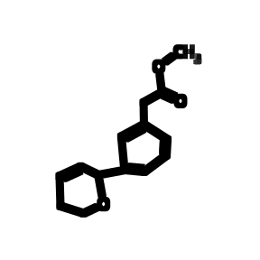 COC(=O)Cc1cccc(C2C=CCCO2)c1